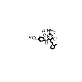 CC1C=CC=CC1/C=C/c1c(Cl)nc(N)nc1N[C@@H]1C[C@H](CO)C[C@H]1O